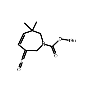 CC1(C)C=CC(=C=O)CN(C(=O)OC(C)(C)C)C1